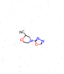 N#CC1CN(c2nnco2)CCO1